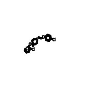 CC1(Oc2ccccc2Cl)CCN(CCOc2ccc(Cl)cc2)CC1